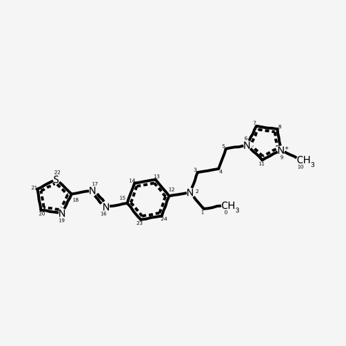 CCN(CCCn1cc[n+](C)c1)c1ccc(N=Nc2nccs2)cc1